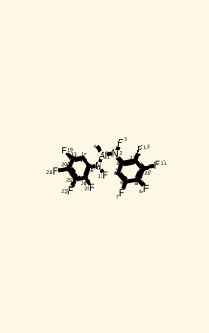 [CH3][Al]([N](F)c1cc(F)c(F)c(F)c1F)[N](F)c1cc(F)c(F)c(F)c1F